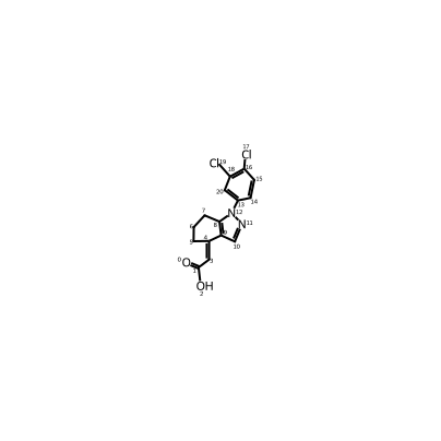 O=C(O)/C=C1\CCCc2c1cnn2-c1ccc(Cl)c(Cl)c1